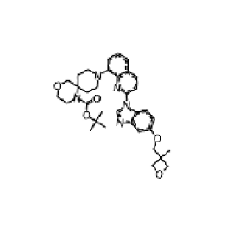 CC1(COc2ccc3c(c2)ncn3-c2ccc3cccc(N4CCC5(CC4)COCCN5C(=O)OC(C)(C)C)c3n2)COC1